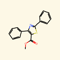 COC(=O)c1sc(-c2ccccc2)nc1-c1ccccc1